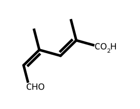 CC(=CC=O)C=C(C)C(=O)O